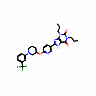 CCCn1c(=O)c2[nH]c(-c3ccc(OC4CCCN(c5cccc(C(F)(F)F)c5)C4)nc3)nc2n(CCC)c1=O